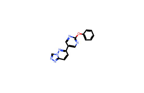 c1ccc(Oc2ncc(-c3ccc4nncn4n3)cn2)cc1